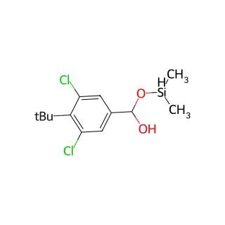 C[SiH](C)OC(O)c1cc(Cl)c(C(C)(C)C)c(Cl)c1